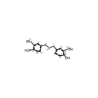 CC(C)(C)c1cc(CSCc2ccc(O)c(C(C)(C)C)c2)ccc1O